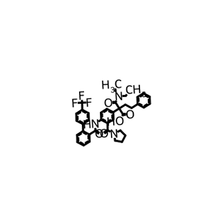 CCN(CC)C(=O)C(CCc1ccccc1)(C(=O)O)c1ccc(NC(=O)c2ccccc2-c2ccc(C(F)(F)F)cc2)c(C(=O)N2CCCC2)c1